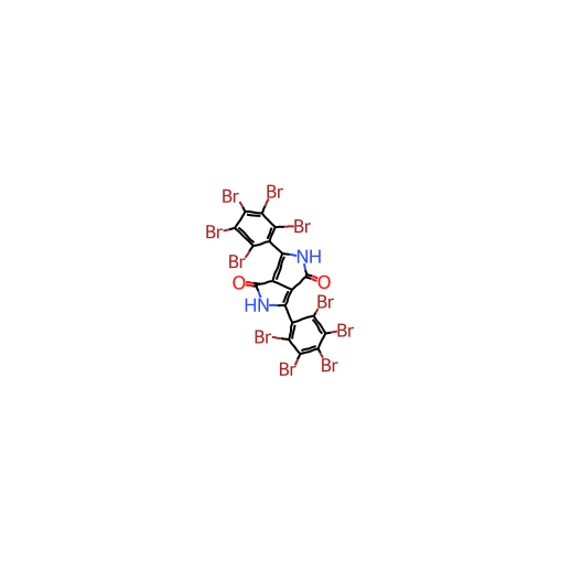 O=C1NC(c2c(Br)c(Br)c(Br)c(Br)c2Br)=C2C(=O)NC(c3c(Br)c(Br)c(Br)c(Br)c3Br)=C12